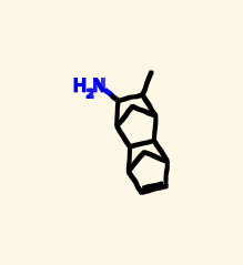 CC1C(N)C2CC1C1C3C=CC(C3)C21